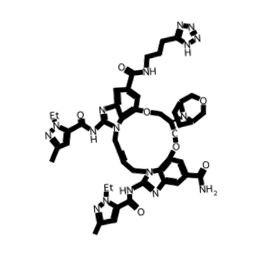 CCn1nc(C)cc1C(=O)Nc1nc2cc(C(N)=O)cc3c2n1C/C=C/Cn1c(NC(=O)c2cc(C)nn2CC)nc2cc(C(=O)NCCCc4nnn[nH]4)cc(c21)OC[C@@H](N1C2CCC1COC2)CO3